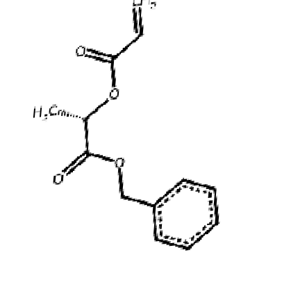 C=CC(=O)O[C@@H](C)C(=O)OCc1ccccc1